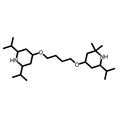 CC(C)C1CC(OCCCCOC2CC(C(C)C)NC(C)(C)C2)CC(C(C)C)N1